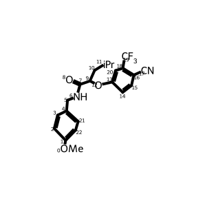 COc1ccc(CNC(=O)C(CC(C)C)Oc2ccc(C#N)c(C(F)(F)F)c2)cc1